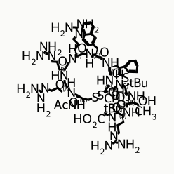 CC(=O)N[C@H]1CSSC(C)(C)[C@@H](C(=O)N[C@H](C(=O)N[C@H](C(=O)N[C@@H](CCCN=C(N)N)C(=O)N[C@H](C(=O)O)C(C)(C)C)C(C)O)C(C)(C)C)NC(=O)[C@H](Cc2csc3ccccc23)NC(=O)[C@H](Cc2ccc3ccccc3c2)NC(=O)[C@H](CCCN=C(N)N)NC(=O)[C@H](CCCN=C(N)N)NC(=O)[C@@H](CCCN=C(N)N)NC1=O